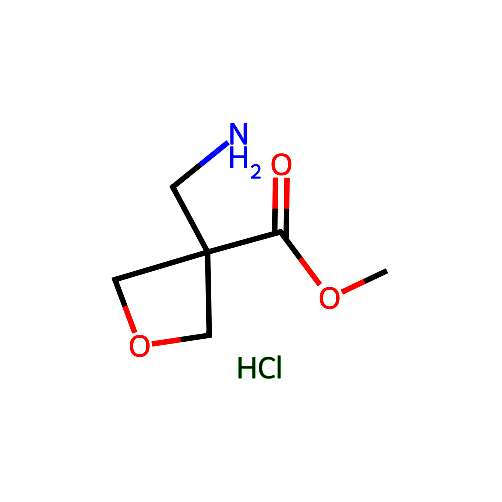 COC(=O)C1(CN)COC1.Cl